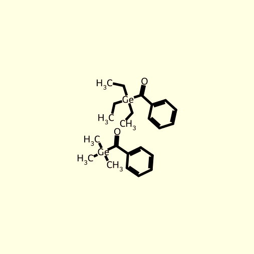 C[CH2][Ge]([CH2]C)([CH2]C)[C](=O)c1ccccc1.[CH3][Ge]([CH3])([CH3])[C](=O)c1ccccc1